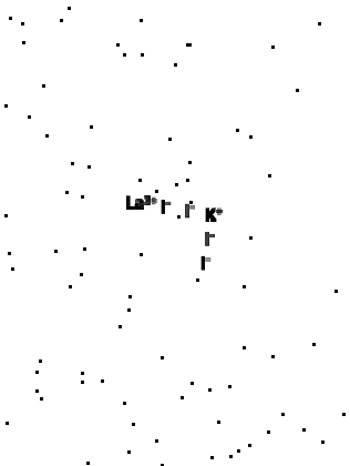 [I-].[I-].[I-].[I-].[K+].[La+3]